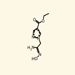 CCOC(=O)c1cnn(C/C(N)=N/O)c1